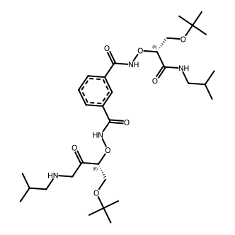 CC(C)CNCC(=O)[C@@H](COC(C)(C)C)ONC(=O)c1cccc(C(=O)NO[C@H](COC(C)(C)C)C(=O)NCC(C)C)c1